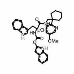 COc1ccc(C2(CNC(=O)[C@](C)(Cc3c[nH]c4ccccc34)NC(=O)Oc3cc4ccccc4[nH]3)CCCCC2)nc1